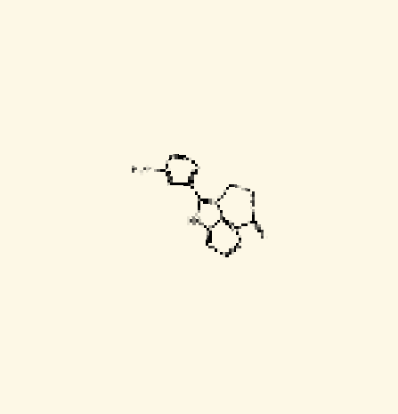 Nc1cccc(-c2[nH]c3cccc4c3c2CCNC4=O)c1